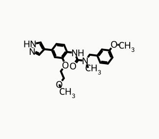 COCCOc1cc(-c2cn[nH]c2)ccc1NC(=O)N(C)Cc1cccc(OC)c1